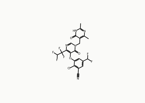 Cc1nc(C)c(Cn2cnc(C(F)(F)C(F)F)c(Oc3cc(C(F)F)cc(C#N)c3Cl)c2=O)c(=O)[nH]1